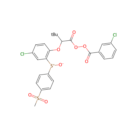 CC(C)(C)C(Oc1ccc(Cl)cc1[S+]([O-])c1ccc(S(C)(=O)=O)cc1)C(=O)OOC(=O)c1cccc(Cl)c1